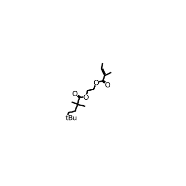 CC=C(C)C(=O)OCCOC(=O)C(C)(C)CCC(C)(C)C